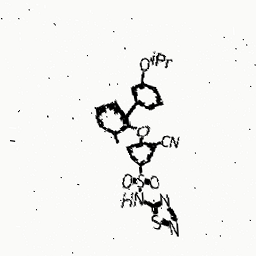 Cc1cccc(-c2cccc(OC(C)C)c2)c1Oc1ccc(S(=O)(=O)Nc2ncns2)cc1C#N